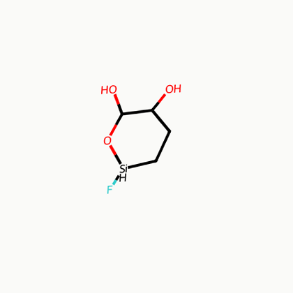 OC1CC[SiH](F)OC1O